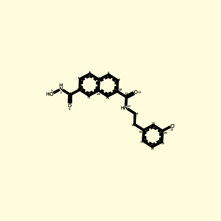 O=C(NO)c1ccc2ccc(C(=O)NCCc3cccc(Cl)c3)cc2c1